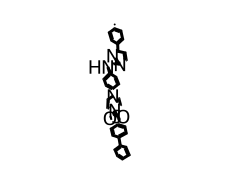 O=S(=O)(c1ccc(-c2ccccc2)cc1)N1CCN(c2ccc(Nc3nccc(-c4cc[c]cc4)n3)cc2)CC1